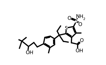 CCC(CC)(c1ccc(CCC(O)C(C)(C)C)c(C)c1)c1sc(S(N)(=O)=O)c(C)c1CC(=O)O